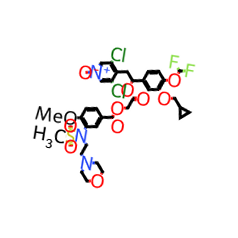 COc1ccc(C(=O)OCC(=O)OC(Cc2c(Cl)c[n+]([O-])cc2Cl)c2ccc(OC(F)F)c(OCC3CC3)c2)cc1N(CCN1CCOCC1)S(C)(=O)=O